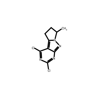 CC1CCc2c3c(Cl)nc(Cl)nc3nn21